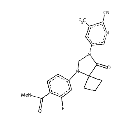 CNC(=O)c1ccc(N2CN(c3cnc(C#N)c(C(F)(F)F)c3)C(=O)C23CCC3)cc1F